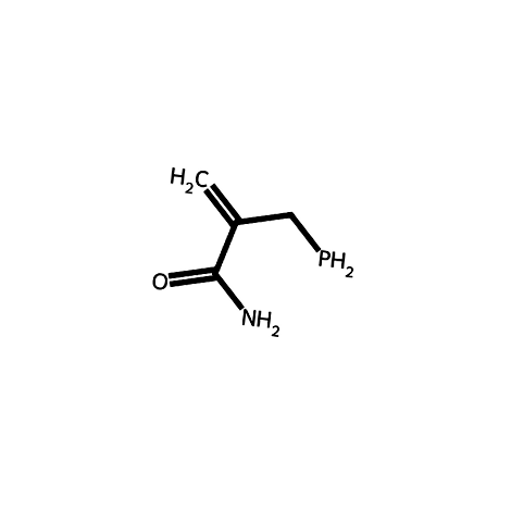 C=C(CP)C(N)=O